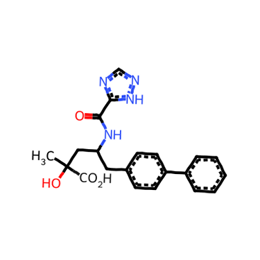 CC(O)(CC(Cc1ccc(-c2ccccc2)cc1)NC(=O)c1ncn[nH]1)C(=O)O